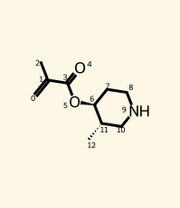 C=C(C)C(=O)O[C@H]1CCNC[C@@H]1C